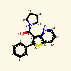 O=C(c1c(-c2ccccc2)sc2cccnc12)N1CCCC1